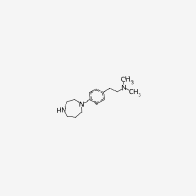 CN(C)CCc1ccc(N2CCCNCC2)cc1